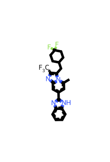 Cc1cc(-c2nc3ccccc3[nH]2)cc2nc(C(F)(F)F)c(CC3CCC(F)(F)CC3)n12